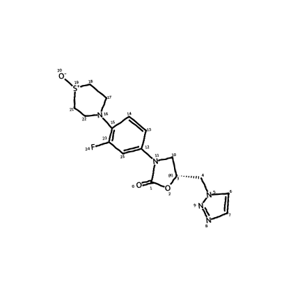 O=C1O[C@@H](Cn2ccnn2)CN1c1ccc(N2CC[S+]([O-])CC2)c(F)c1